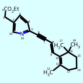 CCOC(=O)Cc1ccc(C#C/C=C/C2=C(C)CCCC2(C)C)nc1